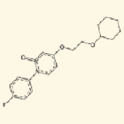 O=c1cc(OCCOC2CCCCC2)ccn1-c1ccc(F)cc1